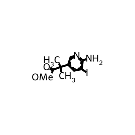 COC(=O)C(C)(C)c1cnc(N)c(I)c1